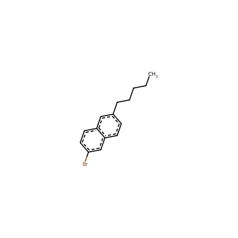 CCCCCc1ccc2cc(Br)ccc2c1